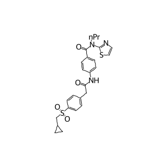 CCCN(C(=O)c1ccc(NC(=O)Cc2ccc(S(=O)(=O)CC3CC3)cc2)cc1)c1nccs1